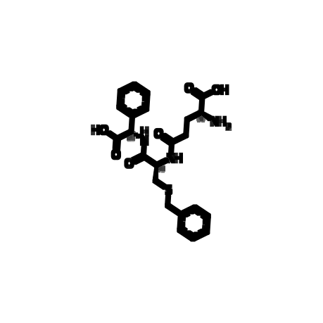 N[C@@H](CCC(=O)N[C@@H](CSCc1ccccc1)C(=O)N[C@H](C(=O)O)c1ccccc1)C(=O)O